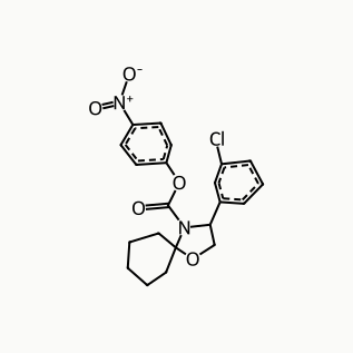 O=C(Oc1ccc([N+](=O)[O-])cc1)N1C(c2cccc(Cl)c2)COC12CCCCC2